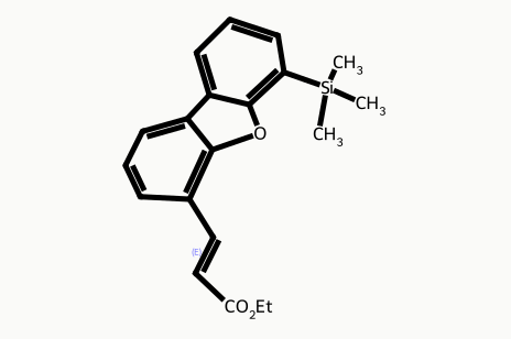 CCOC(=O)/C=C/c1cccc2c1oc1c([Si](C)(C)C)cccc12